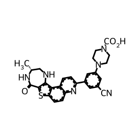 C[C@@H]1CNc2c(sc3ccc4nc(-c5cc(C#N)cc(N6CCN(C(=O)O)CC6)c5)ccc4c23)C(=O)N1